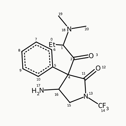 CCC(C(=O)C1(c2ccccc2)C(=O)N(C(F)(F)F)CC1N)N(C)C